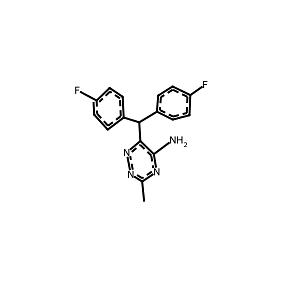 Cc1nnc(C(c2ccc(F)cc2)c2ccc(F)cc2)c(N)n1